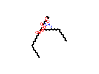 CCCCCCCC/C=C\CCCCCCCC(=O)OCC(COC(=O)C(N)CC(=O)OC(C)(C)C)OC(=O)CCCCCCC/C=C\CCCCCCCC